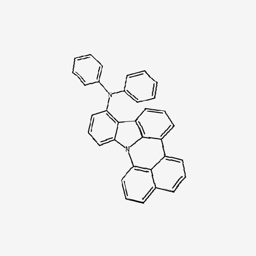 c1ccc(N(c2ccccc2)c2cccc3c2c2cccc4c5cccc6cccc(c65)n3c42)cc1